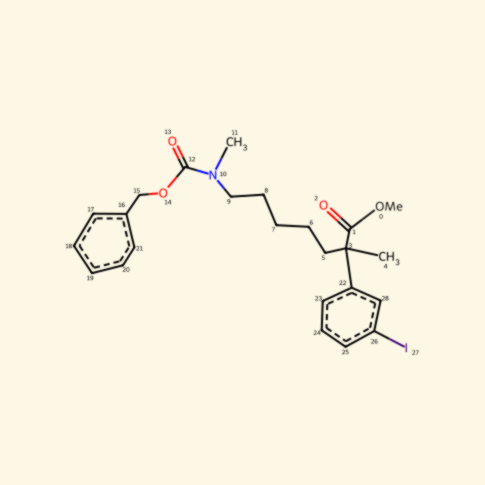 COC(=O)C(C)(CCCCCN(C)C(=O)OCc1ccccc1)c1cccc(I)c1